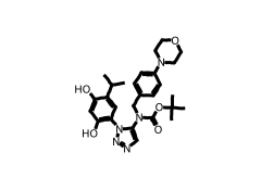 CC(C)c1cc(-n2nncc2N(Cc2ccc(N3CCOCC3)cc2)C(=O)OC(C)(C)C)c(O)cc1O